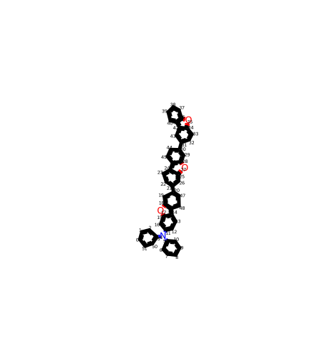 c1ccc(N(c2ccccc2)c2ccc3c(c2)oc2cc(-c4ccc5c(c4)oc4cc(-c6ccc7oc8ccccc8c7c6)ccc45)ccc23)cc1